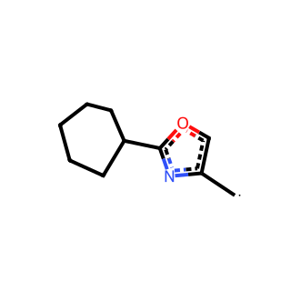 [CH2]c1coc(C2CCCCC2)n1